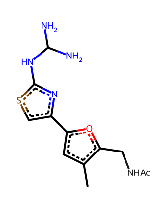 CC(=O)NCc1oc(-c2csc(NC(N)N)n2)cc1C